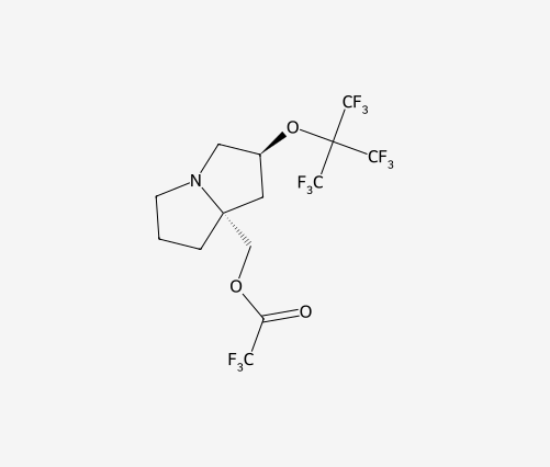 O=C(OC[C@]12CCCN1C[C@@H](OC(C(F)(F)F)(C(F)(F)F)C(F)(F)F)C2)C(F)(F)F